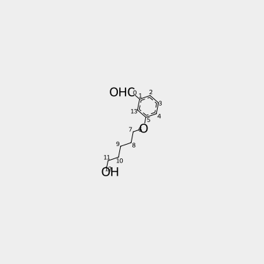 O=Cc1cccc(OCCCCCO)c1